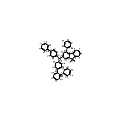 CC1(C)c2ccccc2-c2c(-c3ccccc3)cc(N(c3ccc(-c4ccccc4)cc3)c3ccc(-c4ccccc4-c4ccccc4)cc3)cc21